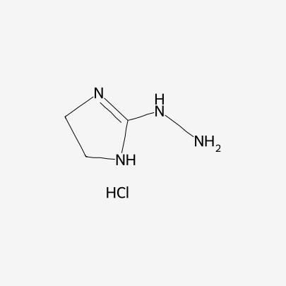 Cl.NNC1=NCCN1